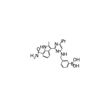 Cc1[nH]c2c(C(N)=O)cccc2c1-c1nc(NCc2cccc(B(O)O)c2)cc(C(C)C)n1